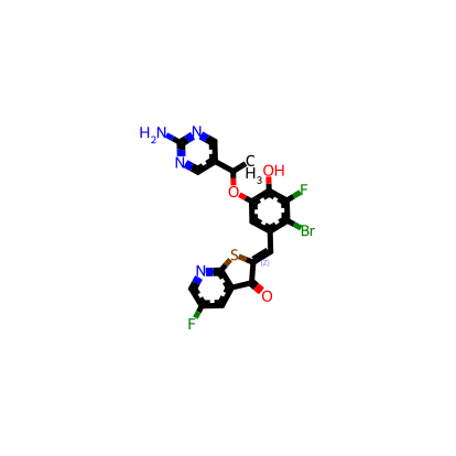 CC(Oc1cc(/C=C2\Sc3ncc(F)cc3C2=O)c(Br)c(F)c1O)c1cnc(N)nc1